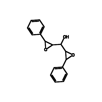 OC(C1OC1c1ccccc1)C1OC1c1ccccc1